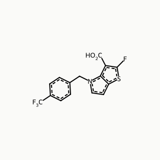 O=C(O)c1c(F)sc2ccn(Cc3ccc(C(F)(F)F)cc3)c12